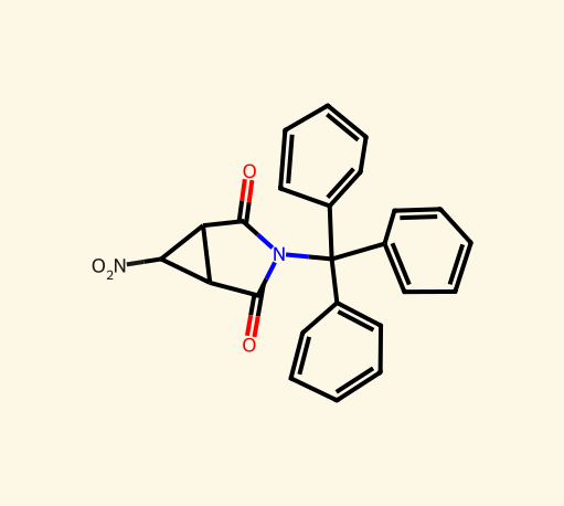 O=C1C2C(C(=O)N1C(c1ccccc1)(c1ccccc1)c1ccccc1)C2[N+](=O)[O-]